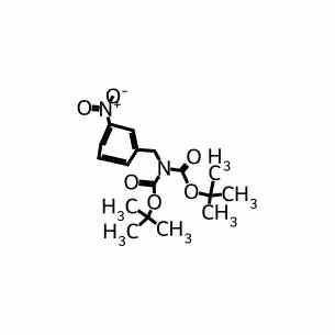 CC(C)(C)OC(=O)N(Cc1cccc([N+](=O)[O-])c1)C(=O)OC(C)(C)C